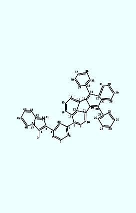 Cc1c(-c2cccc(-c3ccc4c5c(cccc35)-c3c-4c(-c4ccccc4)c4ccccc4c3-c3ccccc3)c2)nc2ccccn12